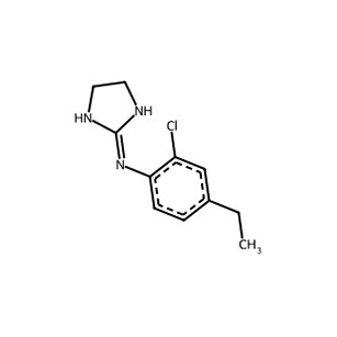 CCc1ccc(N=C2NCCN2)c(Cl)c1